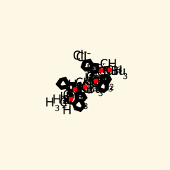 [CH2]=[Hf]([C]1(O[SiH](C)C)C(C(C)(C)C)=Cc2ccccc21)[C]1(O[SiH](C)C)C(C(C)(C)C)=Cc2ccccc21.[CH2]=[Hf]([C]1(O[SiH](C)C)C(C(C)(C)C)=Cc2ccccc21)[C]1(O[SiH](C)C)C(C(C)(C)C)=Cc2ccccc21.[Cl-].[Cl-]